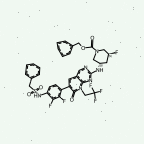 O=C(OCc1ccccc1)N1C[C@@H](F)C[C@H](Nc2ncc3cc(-c4ccc(NS(=O)(=O)Cc5ccccc5)c(F)c4F)c(=O)n(CC(F)(F)F)c3n2)C1